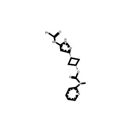 CC(C)C(=O)Nc1cc([C@H]2C[C@@H](OC(=O)N(C)c3ccccn3)C2)n[nH]1